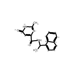 Cc1nc(C(=O)NC(C)c2cccc3ccccc23)cc(=O)[nH]1